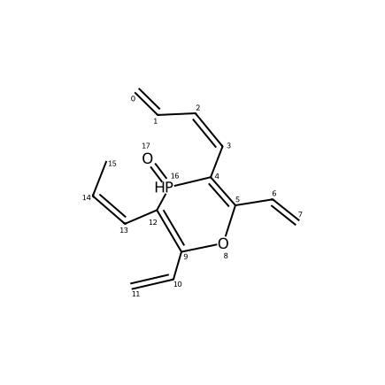 C=C/C=C\C1=C(C=C)OC(C=C)=C(/C=C\C)[PH]1=O